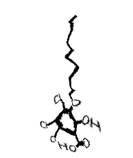 CCCCCCCCCCOc1c(O)c(C(=O)O)c(Cl)c(Cl)c1Cl